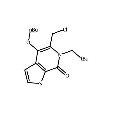 CCCCOc1c(CCl)n(CC(C)(C)C)c(=O)c2sccc12